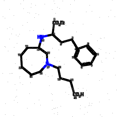 CCOC(=O)C(CCc1ccccc1)NC1CCCCCN(CCCC(=O)O)C1